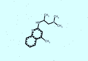 Cc1cc(NC(C)CN(C)C)nc2ccccc12